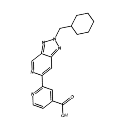 O=C(O)c1ccnc(-c2cc3nn(CC4CCCCC4)nc3cn2)c1